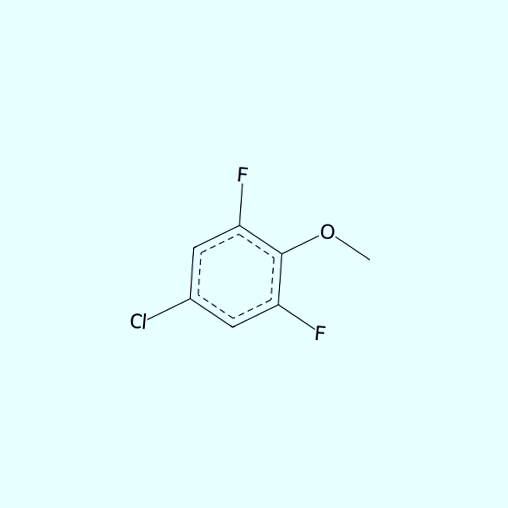 COc1c(F)cc(Cl)cc1F